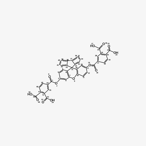 O=C(Oc1ccc2c(c1)Oc1ccc(OC(=O)c3ccc(C(=O)O)c(C(=O)O)c3)cc1C21c2ccccc2-c2ccccc21)c1ccc(C(=O)O)c(C(=O)O)c1